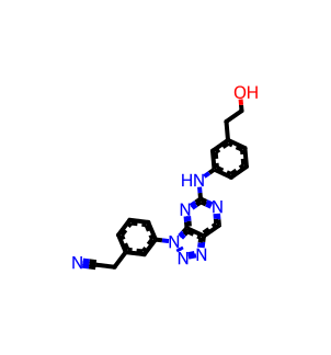 N#CCc1cccc(-n2nnc3cnc(Nc4cccc(CCO)c4)nc32)c1